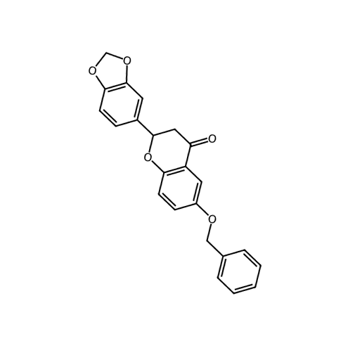 O=C1CC(c2ccc3c(c2)OCO3)Oc2ccc(OCc3ccccc3)cc21